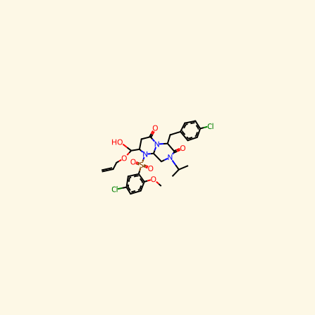 C=CCOC(O)C1CC(=O)N2C(Cc3ccc(Cl)cc3)C(=O)N(C(C)C)CC2N1S(=O)(=O)c1cc(Cl)ccc1OC